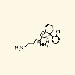 NCCCC[C@H](N)C(=O)N[C@@]1(c2ccccc2Cl)CCC=CC1=O